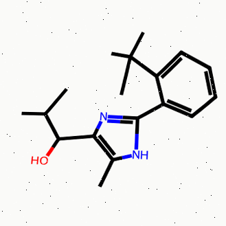 Cc1[nH]c(-c2ccccc2C(C)(C)C)nc1C(O)C(C)C